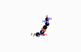 O=C1C[C@H](Nc2cc(-c3ccc(S(=O)(=O)N4CC[C@@H](Nc5ccc(C(F)(F)F)cn5)[C@@H](O)C4)cc3)ccn2)CN1